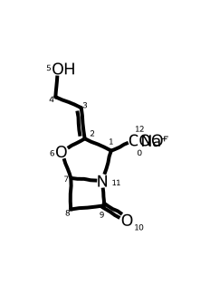 O=C([O-])C1C(=CCO)OC2CC(=O)N21.[Na+]